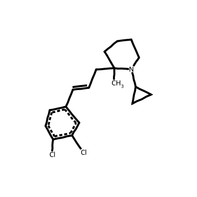 CC1(CC=Cc2ccc(Cl)c(Cl)c2)CCCCN1C1CC1